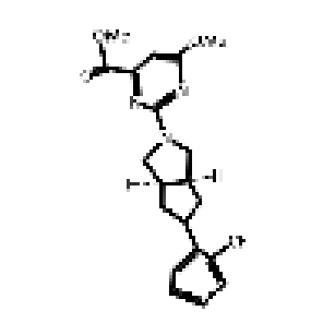 COC(=O)c1cc(OC)nc(N2C[C@H]3CC(c4ccccc4C(F)(F)F)C[C@H]3C2)n1